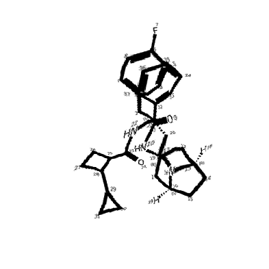 O=C(Cc1ccc(F)cc1)N[C@H]1C[C@H]2CC[C@@H](C1)N2CC[C@H](NC(=O)C1CCC1C1CC1)c1ccccc1